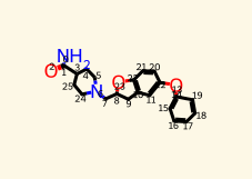 NC(=O)C1CCN(CC2Cc3cc(Oc4ccccc4)ccc3O2)CC1